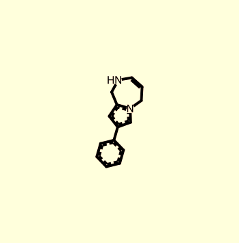 C1=CNCc2cc(-c3ccccc3)cn2C1